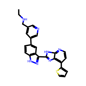 CCNCc1cncc(-c2ccc3[nH]nc(-c4nc5c(-c6cccs6)ccnc5[nH]4)c3c2)c1